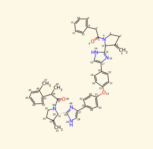 C=C1CCN(C(=O)[CH]c2ccccc2)C1c1nc(-c2ccc(Oc3ccc(-c4c[nH]c([C@@H]5C(=C)CCN5C(=O)[C](C)c5ccccc5C)n4)cc3)cc2)c[nH]1